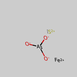 [Fe+2].[O-][As]([O-])[O-].[S+2]